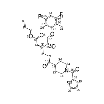 C=CCOC(=O)C[C@H](CCC(=O)C1CCN(C(=O)c2cccs2)CC1)C(=O)COc1c(C)c(F)cc(F)c1F